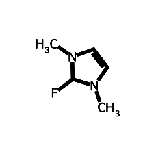 CN1C=CN(C)C1F